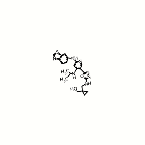 CC(C)Nc1cc(Nc2ccc3ncsc3c2)ncc1-c1nnc(NCC2(CO)CC2)o1